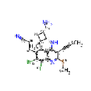 CC#Cc1c(SC)nc2c(F)c(Br)c(CCC#N)cc2c1N[C@H]1[C@@H](CN)C[C@@H]1C